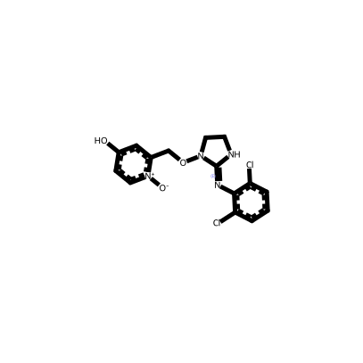 [O-][n+]1ccc(O)cc1CON1CCN/C1=N\c1c(Cl)cccc1Cl